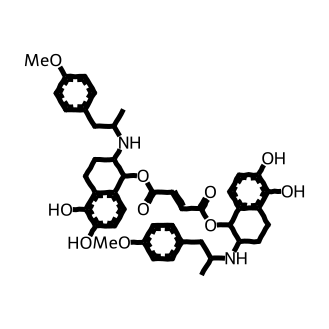 COc1ccc(CC(C)NC2CCc3c(ccc(O)c3O)C2OC(=O)/C=C/C(=O)OC2c3ccc(O)c(O)c3CCC2NC(C)Cc2ccc(OC)cc2)cc1